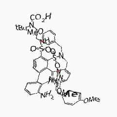 COc1ccc(CN(Cc2ccc(OC)cc2)S(=O)(=O)c2c(S(=O)(=O)NCCN(C(=O)O)C(C)(C)C)ccc(-c3cccc(N)c3N)c2-c2nnn(Cc3ccc(OC)cc3)n2)cc1